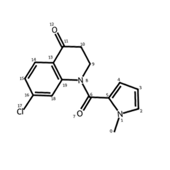 Cn1cccc1C(=O)N1CCC(=O)c2ccc(Cl)cc21